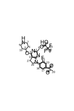 Cc1nc(OC2CCNCC2)c2c(n1)N(c1ccc(S(C)(=O)=O)cc1F)CC2.O=C(O)C(F)(F)F